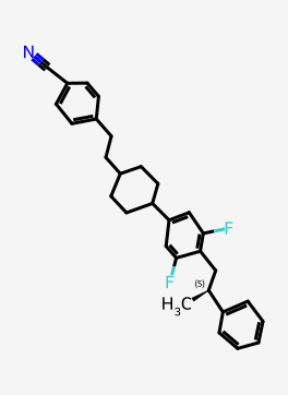 C[C@@H](Cc1c(F)cc(C2CCC(CCc3ccc(C#N)cc3)CC2)cc1F)c1ccccc1